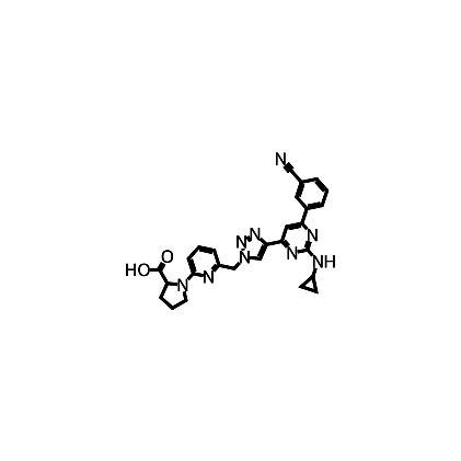 N#Cc1cccc(-c2cc(-c3cn(Cc4cccc(N5CCCC5C(=O)O)n4)nn3)nc(NC3CC3)n2)c1